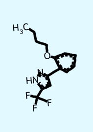 CCCCOc1ccccc1-c1cc(C(F)(F)F)[nH]n1